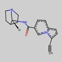 C#Cc1ccc2ccc(C(=O)N[C@H]3CN4CCC3CC4)cn12